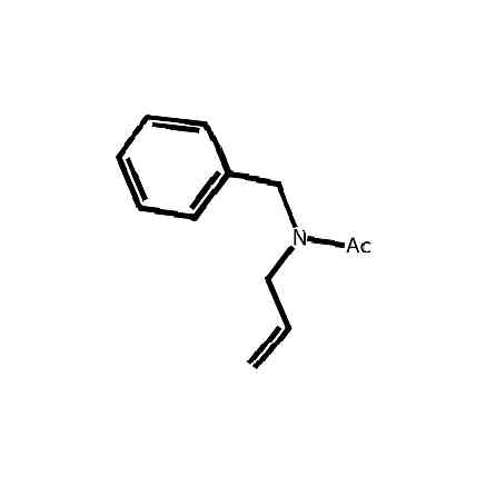 C=CCN(Cc1ccccc1)C(C)=O